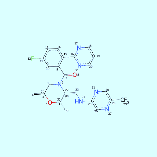 C[C@@H]1O[C@@H](C)CN(C(=O)c2cc(F)ccc2-c2ncccn2)[C@@H]1CNc1cnc(C(F)(F)F)cn1